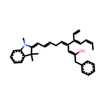 C=CC(=C\C=C/C)/C(/C=C(\O)Cc1ccccc1)=C/C/C=C/C=C1/N(C)c2ccccc2C1(C)C